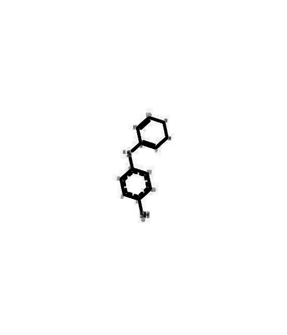 Sc1ccc(SC2=CCCC=C2)cc1